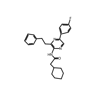 O=C(CC1CCCCC1)Nc1ncc(-c2ccc(F)cc2)nc1CCc1ccccc1